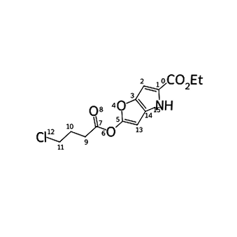 CCOC(=O)c1cc2oc(OC(=O)CCCCl)cc2[nH]1